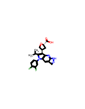 CC(C)c1c([C@H]2CO[C@H](C(=O)O)C2)c2nc3[nH]ncc3cc2n1-c1ccc(F)c(F)c1